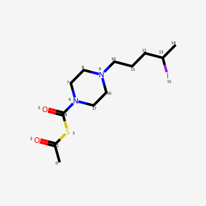 CC(=O)SC(=O)N1CCN(CCCC(C)I)CC1